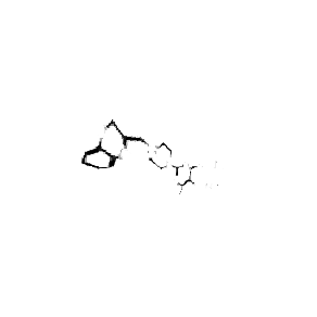 CCCCc1c(C)nc(N2CCN(CC3COc4ccccc4O3)CC2)nc1N